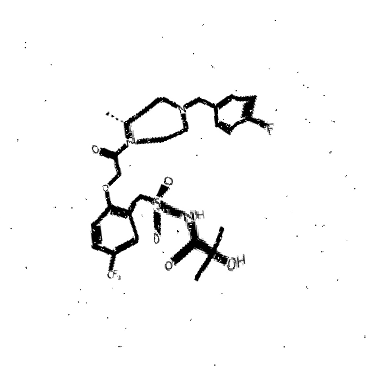 C[C@@H]1CN(Cc2ccc(F)cc2)CCN1C(=O)COc1ccc(C(F)(F)F)cc1CS(=O)(=O)NC(=O)C(C)(C)O